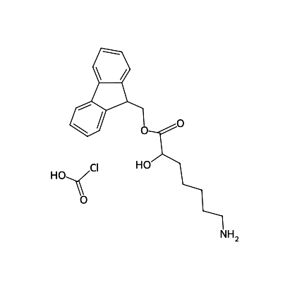 NCCCCCC(O)C(=O)OCC1c2ccccc2-c2ccccc21.O=C(O)Cl